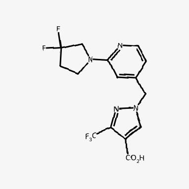 O=C(O)c1cn(Cc2ccnc(N3CCC(F)(F)C3)c2)nc1C(F)(F)F